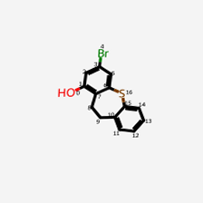 Oc1cc(Br)cc2c1CCc1ccccc1S2